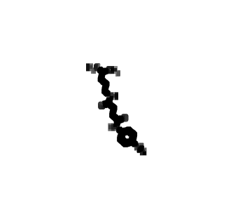 CC(C)CCCNC(=O)CCC(=O)Nc1ccc([N+]#N)cc1